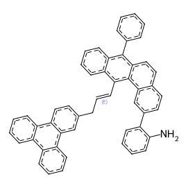 Nc1ccccc1-c1ccc2ccc3c(-c4ccccc4)c4ccccc4c(/C=C/Cc4ccc5c6ccccc6c6ccccc6c5c4)c3c2c1